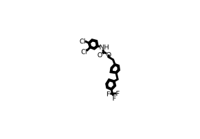 O=C(Nc1ccc(Cl)c(Cl)c1)OCCc1ccc(Cc2cccc(C(F)(F)F)c2)cc1